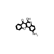 Nc1ccc2nc(O)c3c(=O)c4ccccc4oc3c2c1